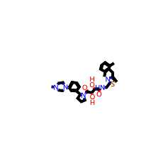 Cc1cccc(C)c1Cc1csc(CNC(=O)C(O)C(O)C(=O)N2CCCC2c2cccc(N3CCN(C)CC3)c2)n1